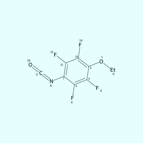 CCOc1c(F)c(F)c(N=C=O)c(F)c1F